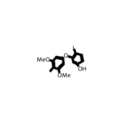 COc1cc(Oc2cc(O)ccc2I)cc(OC)c1C